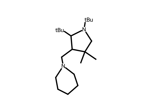 CC(C)(C)C1C(CN2CCCCC2)C(C)(C)CN1C(C)(C)C